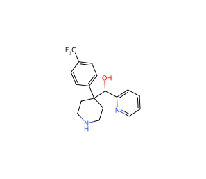 OC(c1ccccn1)C1(c2ccc(C(F)(F)F)cc2)CCNCC1